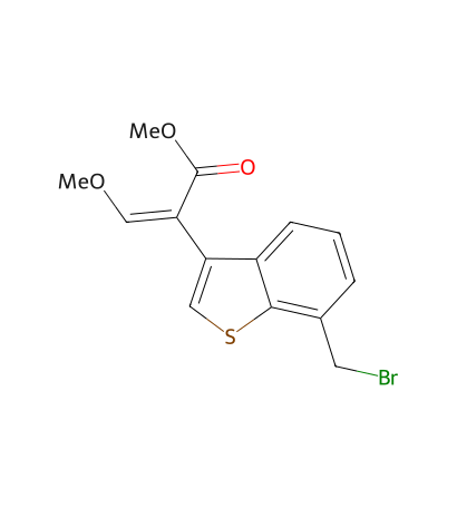 COC=C(C(=O)OC)c1csc2c(CBr)cccc12